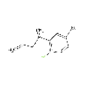 C=CCC(=C)c1cc(CC)ccc1F